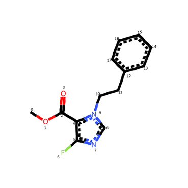 COC(=O)c1c(F)ncn1CCc1ccccc1